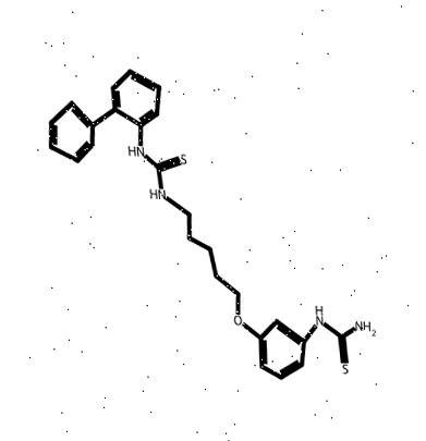 NC(=S)Nc1cccc(OCCCCCNC(=S)Nc2ccccc2-c2ccccc2)c1